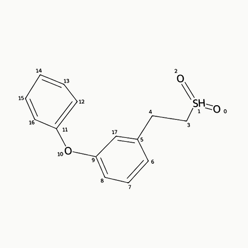 O=[SH](=O)CCc1cccc(Oc2ccccc2)c1